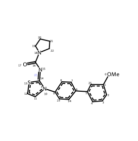 COc1cccc(-c2ccc(-n3ccs/c3=N\C(=O)N3CCCC3)cc2)c1